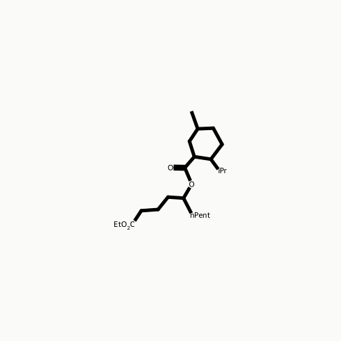 CCCCCC(CCCC(=O)OCC)OC(=O)C1CC(C)CCC1C(C)C